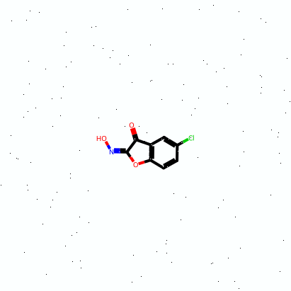 O=C1C(=NO)Oc2ccc(Cl)cc21